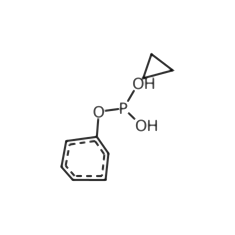 C1CC1.OP(O)Oc1ccccc1